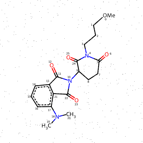 COCCCN1C(=O)CCC(N2C(=O)c3cccc(N(C)C)c3C2=O)C1=O